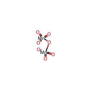 [O]=[Mn](=[O])(=[O])[O][Mn](=[O])(=[O])=[O]